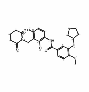 COc1ccc(C(=O)Nc2ccc(Cl)c(CN3C(=O)CCCC3=O)c2Cl)cc1OC1CCCC1